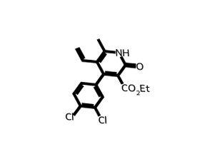 C=Cc1c(C)[nH]c(=O)c(C(=O)OCC)c1-c1ccc(Cl)c(Cl)c1